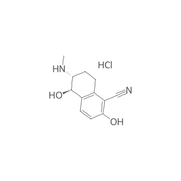 CN[C@@H]1CCc2c(ccc(O)c2C#N)[C@H]1O.Cl